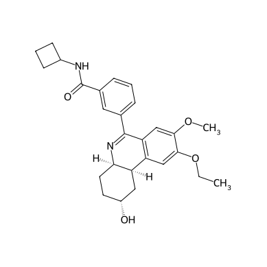 CCOc1cc2c(cc1OC)C(c1cccc(C(=O)NC3CCC3)c1)=N[C@@H]1CC[C@@H](O)C[C@H]21